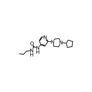 CCCNC(=O)Nc1ccnc(N2CCN(C3CCCC3)CC2)c1